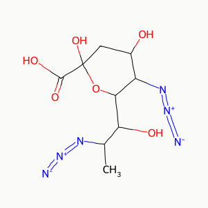 CC(N=[N+]=[N-])C(O)C1OC(O)(C(=O)O)CC(O)C1N=[N+]=[N-]